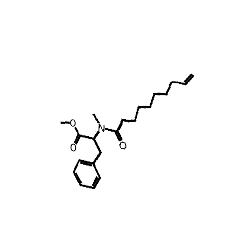 C=CCCCCCCCC(=O)N(C)C(Cc1ccccc1)C(=O)OC